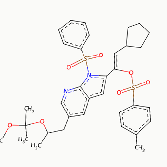 COC(C)(C)OC(C)Cc1cnc2c(c1)cc(/C(=C/C1CCCC1)OS(=O)(=O)c1ccc(C)cc1)n2S(=O)(=O)c1ccccc1